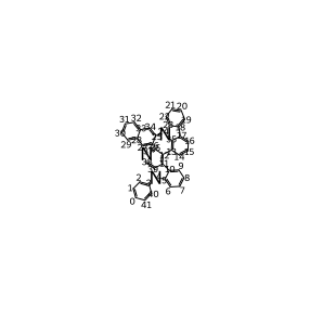 c1ccc(-n2c3ccccc3c3c(-c4cccc5c6ccccc6n(-c6ccc7ccccc7c6)c45)cncc32)cc1